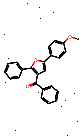 COc1ccc(-c2cc(C(=O)c3ccccc3)c(-c3ccccc3)o2)cc1